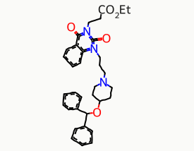 CCOC(=O)CCn1c(=O)c2ccccc2n(CCCN2CCC(OC(c3ccccc3)c3ccccc3)CC2)c1=O